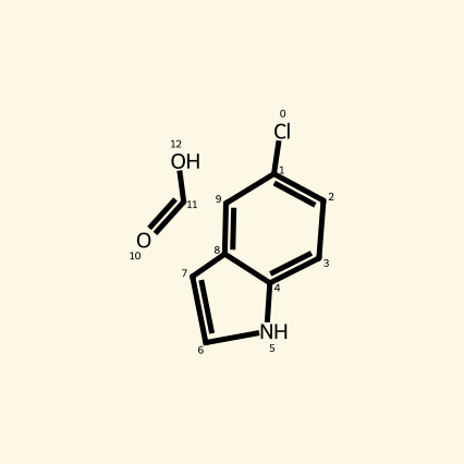 Clc1ccc2[nH]ccc2c1.O=CO